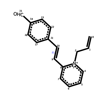 C=CC[n+]1ccccc1/C=C/c1ccc(C=O)cc1